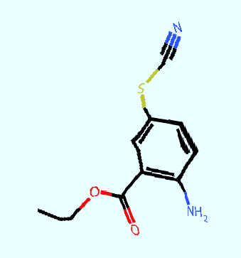 CCOC(=O)c1cc(SC#N)ccc1N